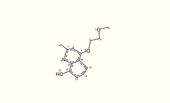 COCCOc1cc(C)nc2c(O)cccc12